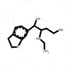 CCNC(CCO)C(O)c1ccc2c(c1)SCC2